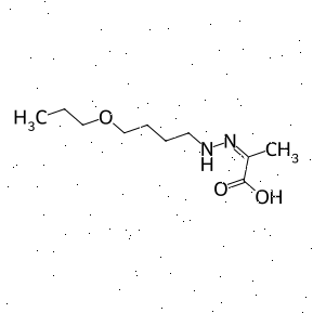 CCCOCCCCNN=C(C)C(=O)O